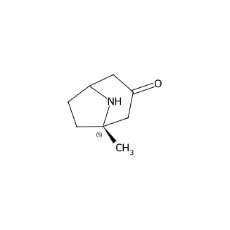 C[C@]12CCC(CC(=O)C1)N2